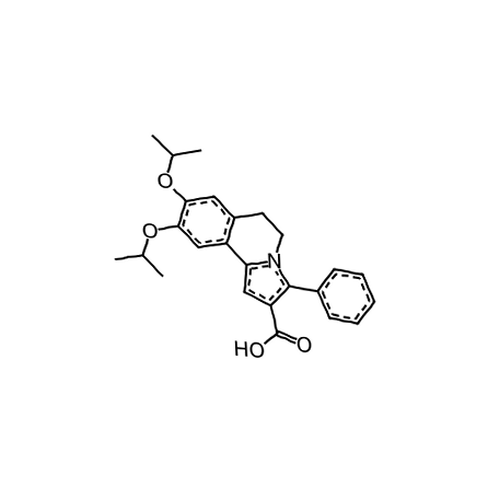 CC(C)Oc1cc2c(cc1OC(C)C)-c1cc(C(=O)O)c(-c3ccccc3)n1CC2